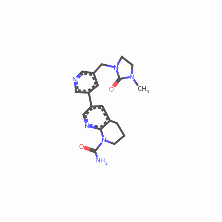 CN1CCN(Cc2cncc(-c3cnc4c(c3)CCCN4C(N)=O)c2)C1=O